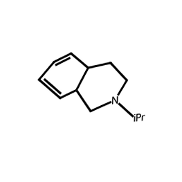 CC(C)N1CCC2C=CC=CC2C1